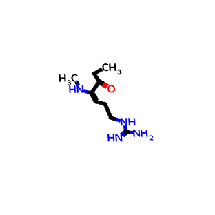 CCC(=O)/C(=C\CCNC(=N)N)NC